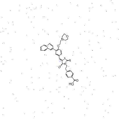 O=C(O)c1ccc(CCN2C(=O)/C(=C/c3ccc(OCCN4CCOCC4)c(-c4ccc5ccccc5c4)c3)SC2=S)cc1